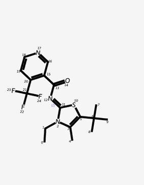 CCn1c(C)c(C(C)(C)C)s/c1=N\C(=O)c1cnccc1C(F)(F)F